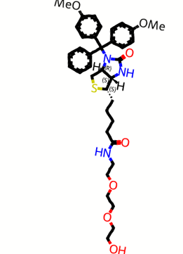 COc1ccc(C(c2ccccc2)(c2ccc(OC)cc2)N2C(=O)N[C@@H]3[C@H](CCCCC(=O)NCCOCCOCCO)SC[C@@H]32)cc1